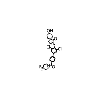 O=C(c1ccc(-c2cc(Cl)c(CN3CCC4(CCC(O)CC4)C3=O)c(Cl)c2)cc1)N1CCC(F)(F)CC1